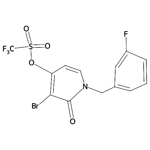 O=c1c(Br)c(OS(=O)(=O)C(F)(F)F)ccn1Cc1cccc(F)c1